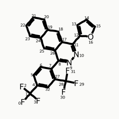 FC(F)(F)c1ccc(-c2nnc(-c3ccco3)c3cc4ccccc4cc23)c(C(F)(F)F)c1